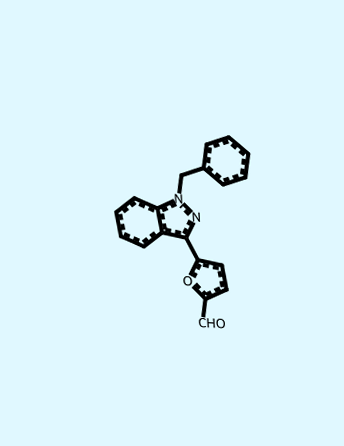 O=Cc1ccc(-c2nn(Cc3ccccc3)c3ccccc23)o1